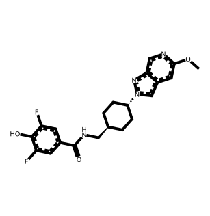 COc1cc2cn([C@H]3CC[C@H](CNC(=O)c4cc(F)c(O)c(F)c4)CC3)nc2cn1